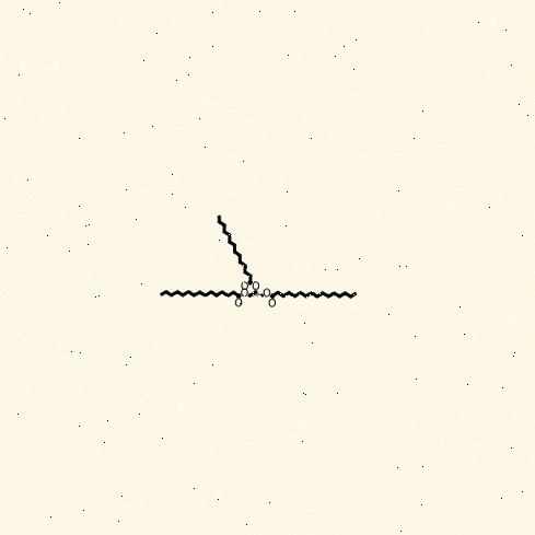 CCCCCCCCCCCCCCCC(=O)OC[C@H](COC(=O)CCCCCCCCCCCCCC)OC(=O)CCCCCCCCCCCCC